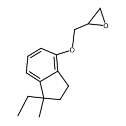 CCC1(C)CCc2c(OCC3CO3)cccc21